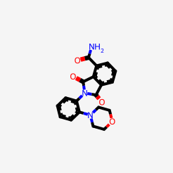 NC(=O)c1cccc2c1C(=O)N(c1ccccc1N1CCOCC1)C2=O